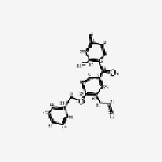 Cc1ccc(C(=O)c2ccc(OCc3ccccc3)c(CC=O)c2)c(F)c1